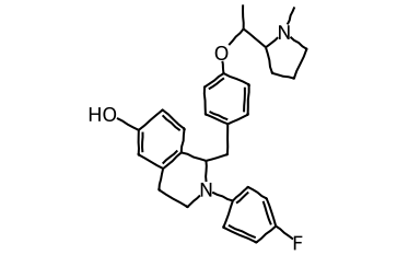 CC(Oc1ccc(CC2c3ccc(O)cc3CCN2c2ccc(F)cc2)cc1)C1CCCN1C